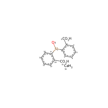 O=C(O)c1ccccc1[S+]([O-])c1ccccc1C(=O)O.[CaH2]